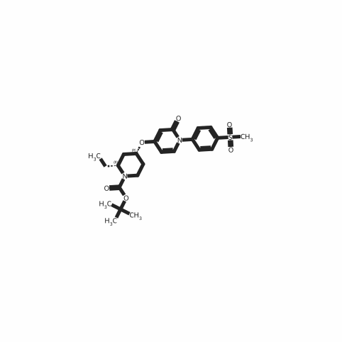 CC[C@@H]1C[C@H](Oc2ccn(-c3ccc(S(C)(=O)=O)cc3)c(=O)c2)CCN1C(=O)OC(C)(C)C